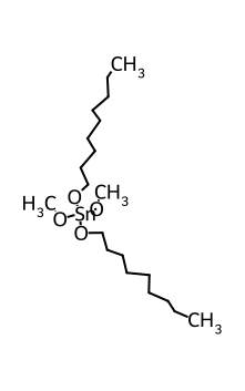 CCCCCCCCC[O][Sn]([O]C)([O]C)[O]CCCCCCCCC